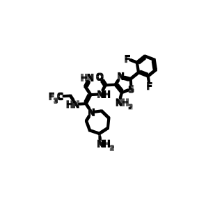 N=C/C(NC(=O)c1nc(-c2c(F)cccc2F)sc1N)=C(\NCC(F)(F)F)N1CCC[C@@H](N)CC1